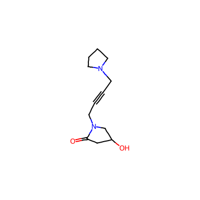 O=C1CC(O)CN1CC#CCN1CCCC1